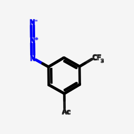 CC(=O)c1cc(N=[N+]=[N-])cc(C(F)(F)F)c1